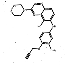 C#CCOc1ccc(Nc2ccc3ncc(N4CCOCC4)nc3c2C#N)cc1OC